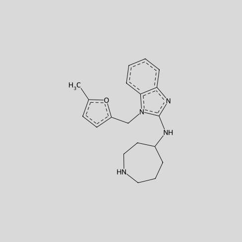 Cc1ccc(Cn2c(NC3CCCNCC3)nc3ccccc32)o1